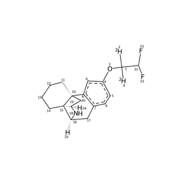 [2H]C([2H])(Oc1ccc2c(c1)[C@]13CCCC[C@@H]1[C@H](C2)NCC3)C(F)F